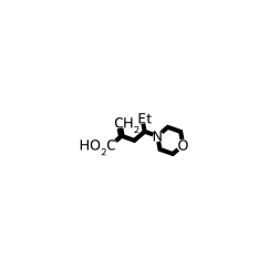 C=C(CC(CC)N1CCOCC1)C(=O)O